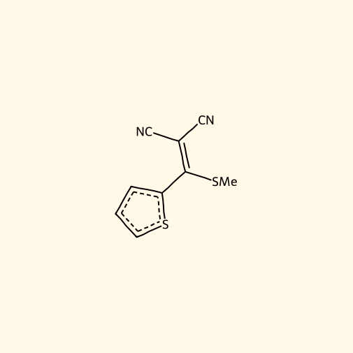 CSC(=C(C#N)C#N)c1cccs1